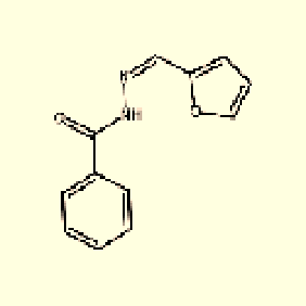 O=C(N/N=C\c1ccco1)c1ccccc1